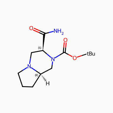 CC(C)(C)OC(=O)N1C[C@H]2CCCN2C[C@H]1C(N)=O